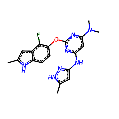 Cc1cc(Nc2cc(N(C)C)nc(Oc3ccc4[nH]c(C)cc4c3F)n2)n[nH]1